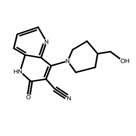 N#Cc1c(N2CCC(CO)CC2)c2ncccc2[nH]c1=O